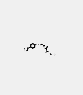 CC(NC(=O)O)c1csc(C=NNc2ccc(-c3cnco3)cc2)n1